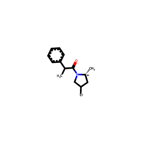 CCC1C[C@@H](C)N(C(=O)C(C)c2ccccc2)C1